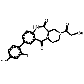 CC(C)(C)CC(=O)N1CCN2C(=O)c3cc(-c4ccc(C(F)(F)F)cc4F)ccc3NC(=O)C2C1